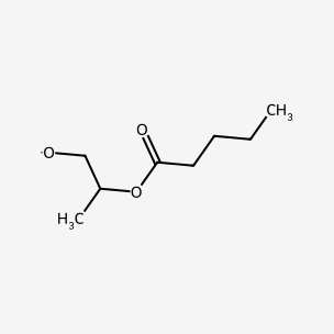 CCCCC(=O)OC(C)C[O]